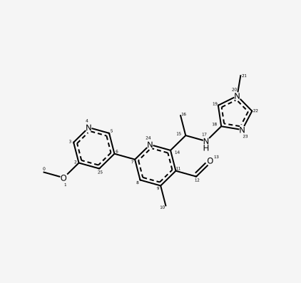 COc1cncc(-c2cc(C)c(C=O)c(C(C)Nc3cn(C)cn3)n2)c1